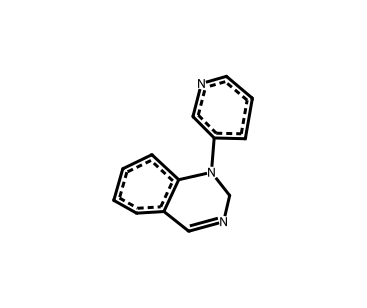 C1=NCN(c2cccnc2)c2ccccc21